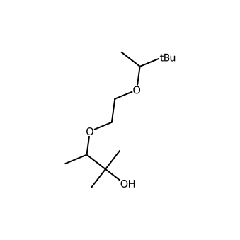 CC(OCCOC(C)C(C)(C)O)C(C)(C)C